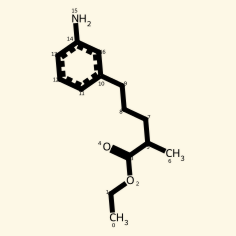 CCOC(=O)C(C)CCCc1cccc(N)c1